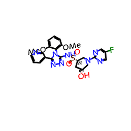 COc1cccc(OC)c1-n1c(NS(=O)(=O)[C@H]2C[C@@H](O)CN(c3ncc(F)cn3)C2)nnc1-c1cccnc1